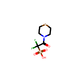 O=C(N1CCSCC1)C(F)(F)S(=O)(=O)O